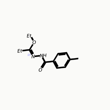 CCO/C(CC)=N\NC(=O)c1ccc(C)cc1